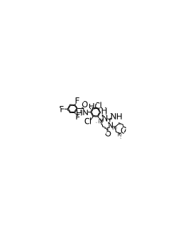 C[C@@H]1C[C@H](N2C(=N)N[C@](C)(c3cccc(NC(=O)c4c(F)cc(F)cc4F)c3Cl)CC2=O)CCO1.Cl